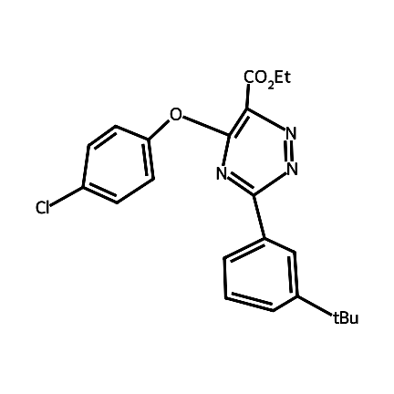 CCOC(=O)c1nnc(-c2cccc(C(C)(C)C)c2)nc1Oc1ccc(Cl)cc1